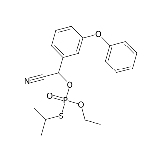 CCOP(=O)(OC(C#N)c1cccc(Oc2ccccc2)c1)SC(C)C